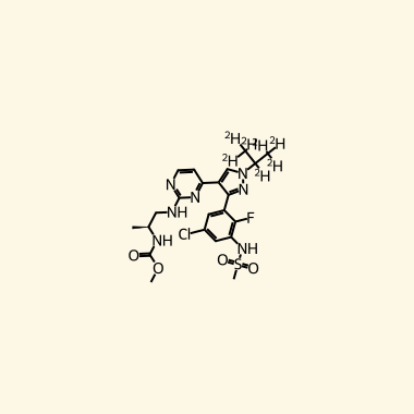 [2H]C([2H])([2H])C([2H])(n1cc(-c2ccnc(NC[C@H](C)NC(=O)OC)n2)c(-c2cc(Cl)cc(NS(C)(=O)=O)c2F)n1)C([2H])([2H])[2H]